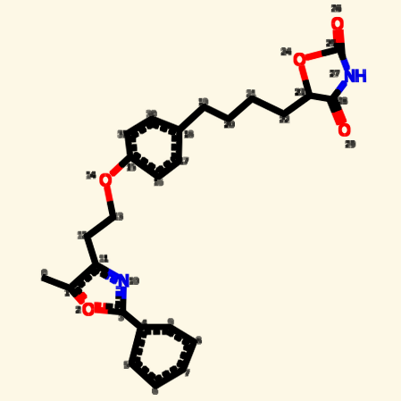 Cc1oc(-c2ccccc2)nc1CCOc1ccc(CCCCC2OC(=O)NC2=O)cc1